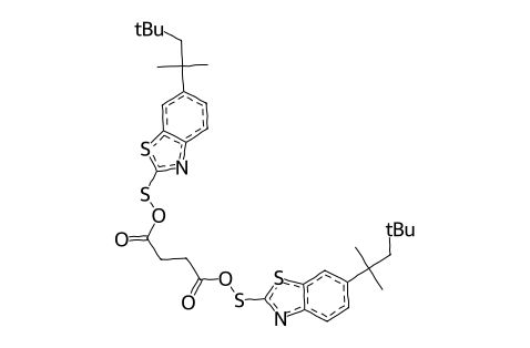 CC(C)(C)CC(C)(C)c1ccc2nc(SOC(=O)CCC(=O)OSc3nc4ccc(C(C)(C)CC(C)(C)C)cc4s3)sc2c1